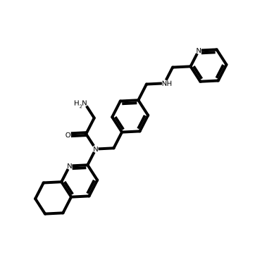 NCC(=O)N(Cc1ccc(CNCc2ccccn2)cc1)c1ccc2c(n1)CCCC2